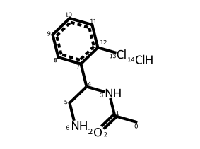 CC(=O)NC(CN)c1ccccc1Cl.Cl